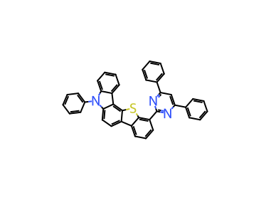 c1ccc(-c2cc(-c3ccccc3)nc(-c3cccc4c3sc3c4ccc4c3c3ccccc3n4-c3ccccc3)n2)cc1